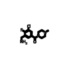 CN1CCN(C(=O)c2cc(Cl)c(F)c(CN)c2)CC1